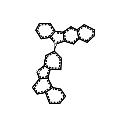 c1ccc2cc3c(cc2c1)c1ccccc1n3-c1ccc2c(c1)sc1ccc3ccccc3c12